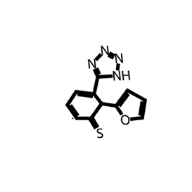 S=C1[C]=CC=C(c2nnn[nH]2)C1c1ccco1